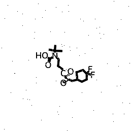 CC(C)(C)N(CCCCS(=O)(=O)CC1CCC(F)(F)CC1)C(=O)O